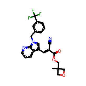 CC1(COC(=O)/C(C#N)=C/c2cn(Cc3cccc(C(F)(F)F)c3)c3ncccc23)COC1